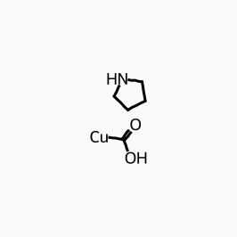 C1CCNC1.O=[C](O)[Cu]